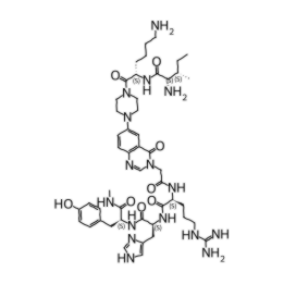 CC[C@H](C)[C@H](N)C(=O)N[C@@H](CCCCN)C(=O)N1CCN(c2ccc3ncn(CC(=O)N[C@@H](CCCNC(=N)N)C(=O)N[C@@H](Cc4c[nH]cn4)C(=O)N[C@@H](Cc4ccc(O)cc4)C(=O)NC)c(=O)c3c2)CC1